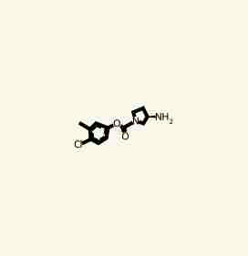 Cc1cc(OC(=O)N2CC[C@@H](N)C2)ccc1Cl